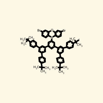 CC(C)(C)c1ccc(-c2cc(-c3ccc(C(C)(C)C)cc3)cc(-c3cc(-c4cc(-c5ccc(C(C)(C)C)cc5)cc(-c5ccc(C(C)(C)I)cc5)c4)cc(N4c5ccc(Br)cc5Oc5cc(Br)ccc54)c3)c2)cc1